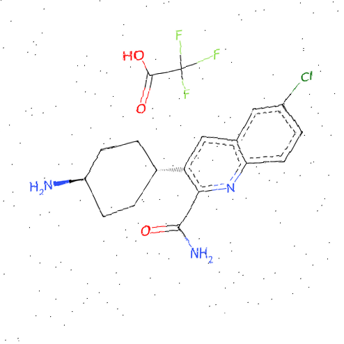 NC(=O)c1nc2ccc(Cl)cc2cc1[C@H]1CC[C@H](N)CC1.O=C(O)C(F)(F)F